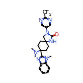 CN(C)C1(c2nc3ccccc3n2C)CCC2(CC1)CN(c1cnc(C(F)(F)F)nc1)C(=O)N2